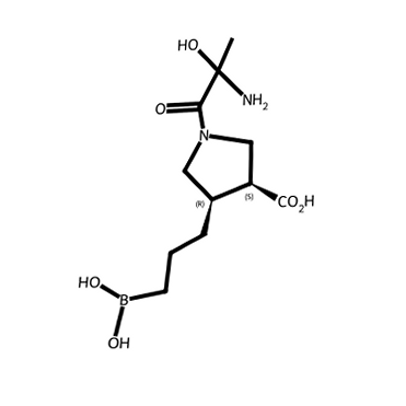 CC(N)(O)C(=O)N1C[C@H](CCCB(O)O)[C@H](C(=O)O)C1